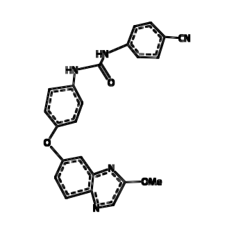 COc1cnc2ccc(Oc3ccc(NC(=O)Nc4ccc(C#N)cc4)cc3)cc2n1